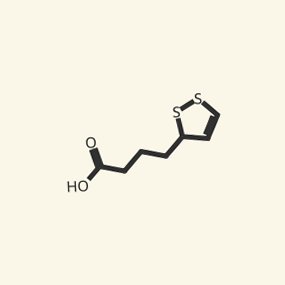 O=C(O)CCCC1C=CSS1